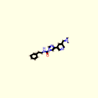 CN(C)Cc1cncc(-c2cn(C(=O)NCCc3ccccc3)cn2)c1